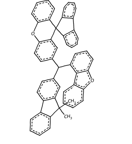 CC1(C)c2ccccc2-c2ccc(C(c3ccc4c(c3)C3(c5ccccc5O4)c4ccccc4-c4ccccc43)c3cccc4oc5ccccc5c34)cc21